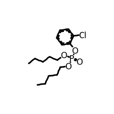 CCCCCOP(=O)(OCCCCC)Oc1ccccc1Cl